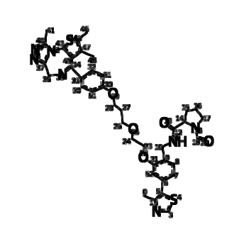 Cc1ncsc1-c1ccc(CNC(=O)C2CCCN2C=O)c(OCCOCCCOc2ccc(C3=NCc4nnc(C)n4-c4sc(C)c(C)c43)cc2)c1